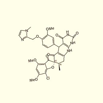 COc1cc(C2C3=C(C[C@@H](C)[C@]4(Oc5c(Cl)c(OC)cc(OC)c5C4=O)C3=O)Nc3[nH]c(=O)[nH]c(=O)c32)ccc1OCc1nccn1C